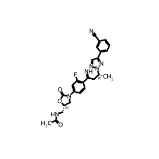 CC(=O)NC[C@H]1CN(c2ccc(C(=N)C[C@@H](C)n3ncc(-c4cccc(C#N)c4)n3)c(F)c2)C(=O)O1